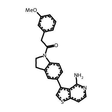 COc1cccc(CC(=O)N2CCc3cc(-c4csc5ccnc(N)c45)ccc32)c1